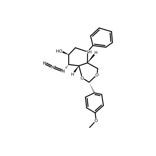 COc1ccc([C@H]2OC[C@@H]3[C@H](O2)[C@H](N=[N+]=[N-])[C@@H](O)C[SH]3c2ccccc2)cc1